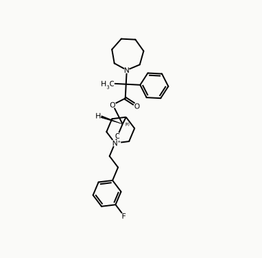 CC(C(=O)O[C@H]1C[N+]2(CCc3cccc(F)c3)CCC1CC2)(c1ccccc1)N1CCCCCC1